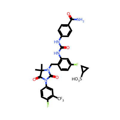 CC1(C)C(=O)N(c2ccc(F)c(C(F)(F)F)c2)C(=O)N1Cc1ccc(F)cc1NC(=O)Nc1ccc(C(N)=O)cc1.O=S(=O)(O)C1CC1